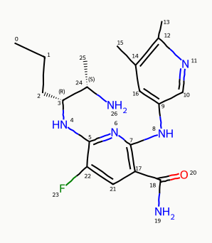 CCC[C@@H](Nc1nc(Nc2cnc(C)c(C)c2)c(C(N)=O)cc1F)[C@H](C)N